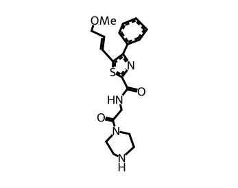 COCC=Cc1sc(C(=O)NCC(=O)N2CCNCC2)nc1-c1ccccc1